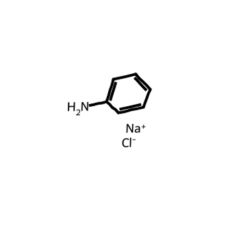 Nc1ccccc1.[Cl-].[Na+]